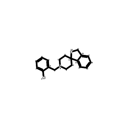 Clc1ccccc1CN1CCC2(CC1)OCc1ccccc12